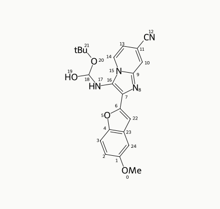 COc1ccc2oc(-c3nc4cc(C#N)ccn4c3NC(O)OC(C)(C)C)cc2c1